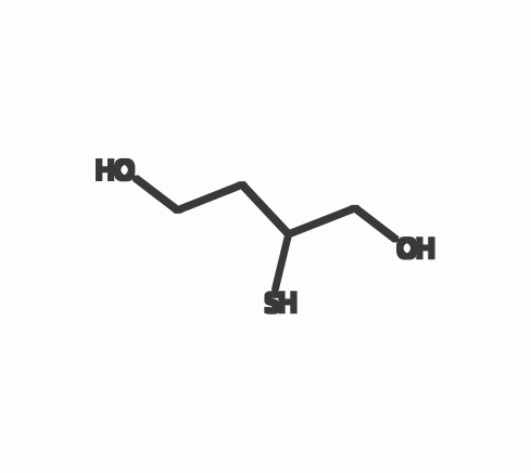 OCCC(S)CO